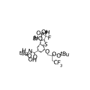 CC(C)(C)OO.CC(C)(C)OOC(COc1cc(C(N)=O)cc2c(Br)c(C(F)(F)P(=O)(O)O)sc12)CC(F)(F)F